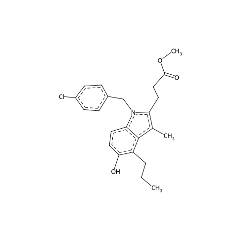 CCCc1c(O)ccc2c1c(C)c(CCC(=O)OC)n2Cc1ccc(Cl)cc1